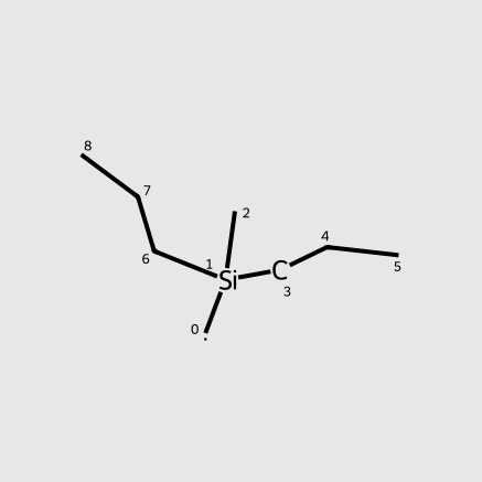 [CH2][Si](C)(CCC)CCC